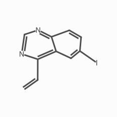 C=Cc1ncnc2ccc(I)cc12